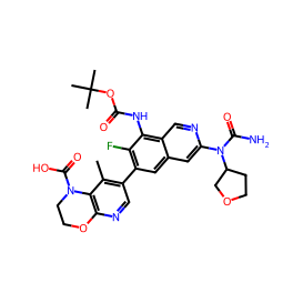 Cc1c(-c2cc3cc(N(C(N)=O)C4CCOC4)ncc3c(NC(=O)OC(C)(C)C)c2F)cnc2c1N(C(=O)O)CCO2